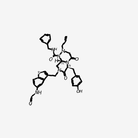 C=CCN1CC(=O)N2[C@@H](Cc3ccc(O)cc3)C(=O)N(Cc3csc4ccc(NC=O)cc34)C[C@@H]2N1C(=O)NCc1ccccc1